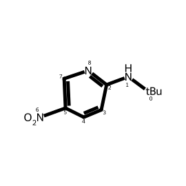 CC(C)(C)Nc1ccc([N+](=O)[O-])cn1